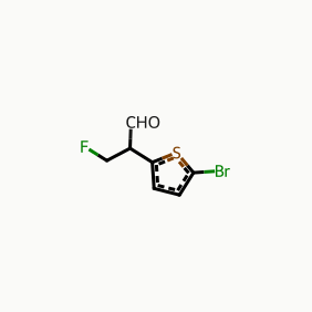 O=CC(CF)c1ccc(Br)s1